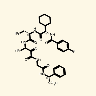 CCCC(NC(=O)[C@H](CC(C)C)NC(=O)[C@@H](NC(=O)c1ccc(F)cc1)C1CCCCC1)C(=O)C(=O)NCC(=O)N[C@H](C(=O)O)c1ccccc1